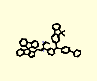 C/C=C\C(=C/CC1C=CC2=C1C1(c3ccccc32)c2ccccc2-c2ccccc21)c1cccc(N(c2ccc(-c3ccccc3)cc2)c2ccc3c(c2)C(C)(C)c2ccccc2-3)c1